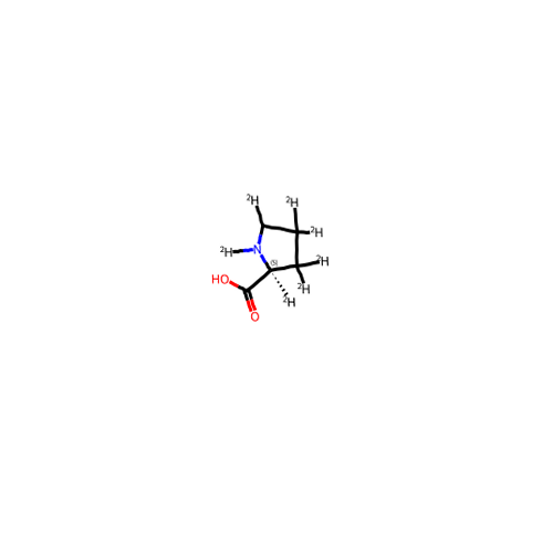 [2H]C1N([2H])[C@]([2H])(C(=O)O)C([2H])([2H])C1([2H])[2H]